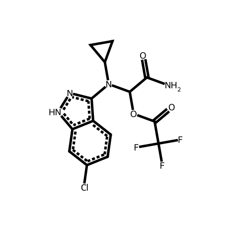 NC(=O)C(OC(=O)C(F)(F)F)N(c1n[nH]c2cc(Cl)ccc12)C1CC1